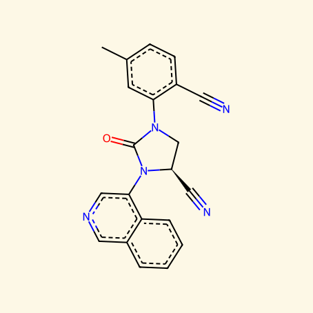 Cc1ccc(C#N)c(N2C[C@@H](C#N)N(c3cncc4ccccc34)C2=O)c1